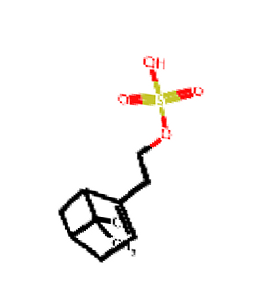 CC1(C)C2CC=C(CCOS(=O)(=O)O)C1C2